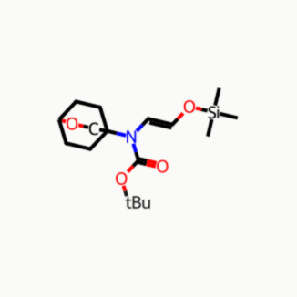 CC(C)(C)OC(=O)N(C=CO[Si](C)(C)C)C12CCC(CC1)OC2